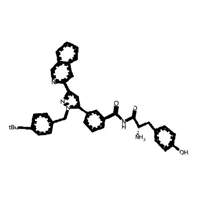 CC(C)(C)c1ccc(Cn2nc(-c3cc4ccccc4cn3)cc2-c2cccc(C(=O)NC(=O)[C@@H](N)Cc3ccc(O)cc3)c2)cc1